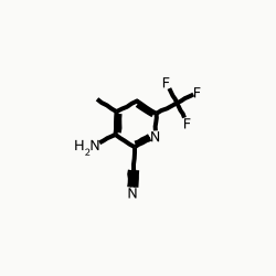 Cc1cc(C(F)(F)F)nc(C#N)c1N